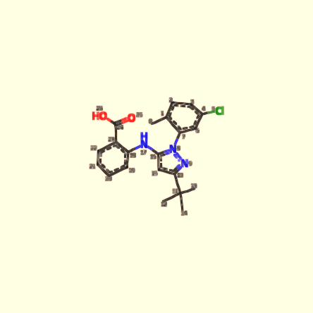 Cc1ccc(Cl)cc1-n1nc(C(C)(C)C)cc1Nc1ccccc1C(=O)O